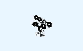 O=C(/C=C(/c1ccccc1)c1cccc(N(Cc2ccccc2)S(=O)(=O)c2ccc3ccccc3c2)c1)NO